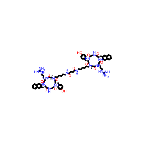 C[C@@H]1C(=O)N[C@@H](CCCNC(=N)N)C(=O)N[C@@H](Cc2ccc3ccccc3c2)C(=O)NCC(=O)N[C@H](Cc2ccc(O)cc2)C(=O)N1CCCCCCNC(=O)CCC(=O)NCCCCCCN1C(=O)[C@@H](Cc2ccc(O)cc2)NC(=O)CNC(=O)[C@H](Cc2ccc3ccccc3c2)NC(=O)[C@H](CCCNC(=N)N)NC(=O)[C@H]1C